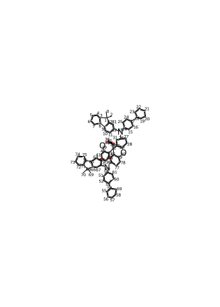 CC1(C)c2ccccc2-c2ccc(N(c3ccc(-c4ccccc4)cc3)c3ccc4c(c3)C3(c5ccccc5Oc5ccccc53)c3cc(N(c5ccc(-c6ccccc6)cc5)c5ccc6c(c5)C(C)(C)c5ccccc5-6)ccc3O4)cc21